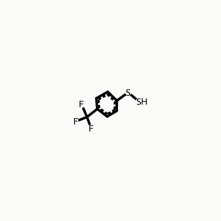 FC(F)(F)c1ccc(SS)cc1